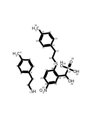 Cc1ccc(CCS)cc1.Cc1ccc(CCSc2ccc([N+](=O)[O-])cc2C(O)P(=O)(O)O)cc1